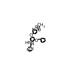 CCS(=O)(=O)c1ccc(Oc2cc(OCc3ccccc3)c3nc(-c4cnccn4)[nH]c3c2)cn1